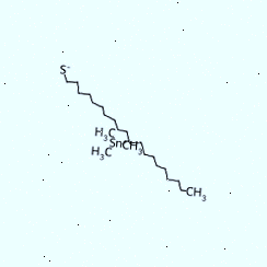 CCCCCCCCCCCCCCCCCCCC[S-].[CH3][Sn+]([CH3])[CH3]